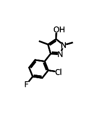 Cc1c(-c2ccc(F)cc2Cl)nn(C)c1O